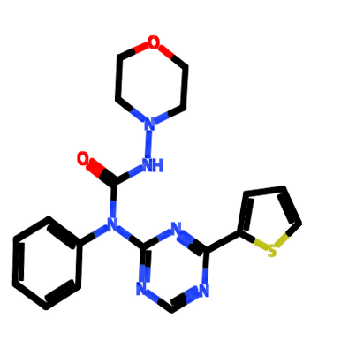 O=C(NN1CCOCC1)N(c1ccccc1)c1ncnc(-c2cccs2)n1